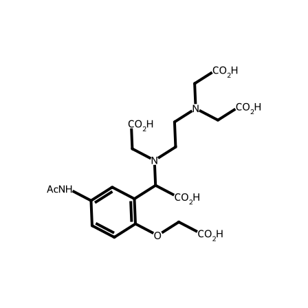 CC(=O)Nc1ccc(OCC(=O)O)c(C(C(=O)O)N(CCN(CC(=O)O)CC(=O)O)CC(=O)O)c1